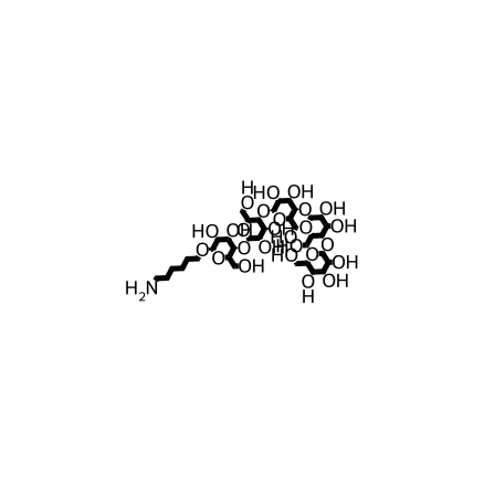 NCCCCCCO[C@@H]1OC(CO)[C@@H](O[C@H]2OC(CO)[C@H](O[C@H]3OC(CO)[C@@H](O[C@@H]4OC(CO)[C@@H](O[C@H]5OC(CO)[C@H](O)[C@H](O)C5O)C(O)[C@@H]4O)[C@H](O)C3O)[C@H](O)C2O)C(O)[C@@H]1O